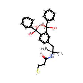 C[C@@](Cc1ccc(C(O)(O)c2ccccc2)c(C(O)(O)c2ccccc2)c1)(NC(=O)CCS)C(=O)O